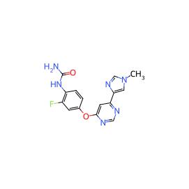 Cn1cnc(-c2cc(Oc3ccc(NC(N)=O)c(F)c3)ncn2)c1